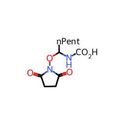 CCCCCC(NC(=O)O)ON1C(=O)CCC1=O